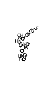 COc1cc(C2CCN(C3CCN(CCF)CC3)CC2)ccc1Nc1nccc(-c2c(-c3cccc(C(=O)Nc4c(F)cccc4F)c3)nc3ccccn23)n1